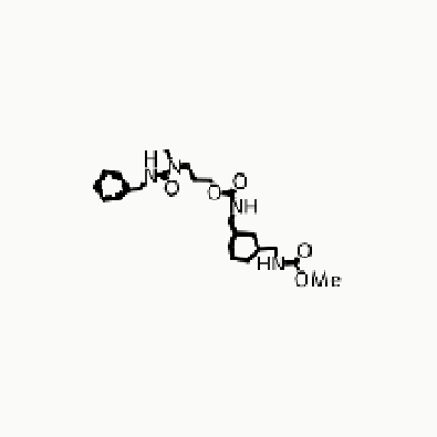 COC(=O)NCC1CCCC(CNC(=O)OCCCN(C)C(=O)NCc2ccccc2)C1